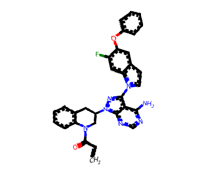 C=CC(=O)N1CC(n2nc(-n3ccc4cc(Oc5ccccc5)c(F)cc43)c3c(N)ncnc32)Cc2ccccc21